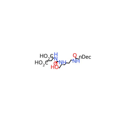 CCCCCCCCCCCC(=O)NCCCC[C@@H](CO)NC(=O)N[C@@H](CCC(=O)O)C(=O)O